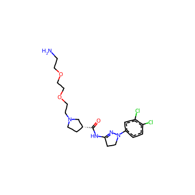 NCCOCCOCCN1CC[C@@H](C(=O)NC2=NN(c3ccc(Cl)c(Cl)c3)CC2)C1